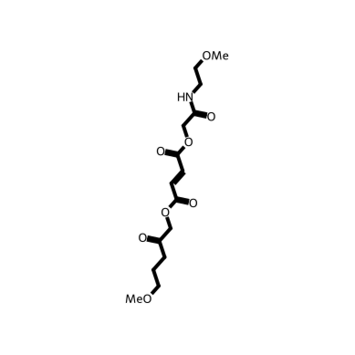 COCCCC(=O)COC(=O)/C=C/C(=O)OCC(=O)NCCOC